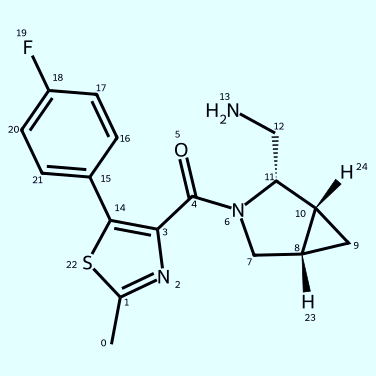 Cc1nc(C(=O)N2C[C@H]3C[C@H]3[C@H]2CN)c(-c2ccc(F)cc2)s1